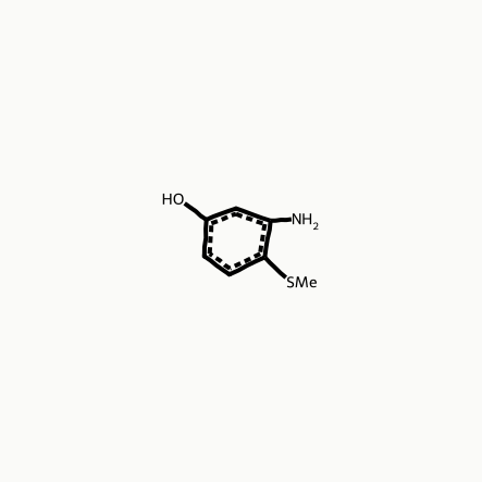 CSc1ccc(O)cc1N